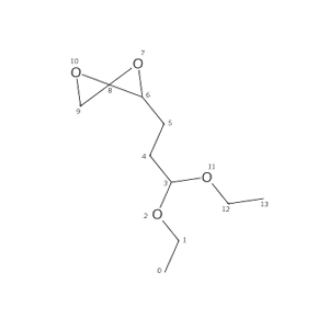 CCOC(CCC1OC12CO2)OCC